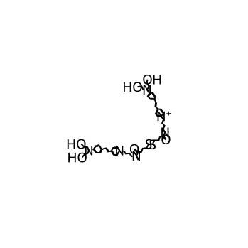 CN(CCCCN1C=CC(/C=C/c2ccc(N(CCO)CCO)cc2)=CC1)C(=O)CCCSSCCCC(=O)N(C)CCCC[n+]1ccc(/C=C/c2ccc(N(CCO)CCO)cc2)cc1